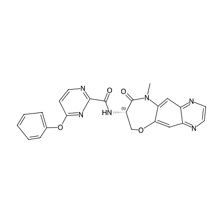 CN1C(=O)[C@@H](NC(=O)c2nccc(Oc3ccccc3)n2)COc2cc3nccnc3cc21